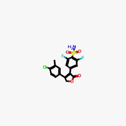 Cc1cc(C2=C(c3cc(F)c(S(N)(=O)=O)c(F)c3)C(=O)OC2)ccc1Cl